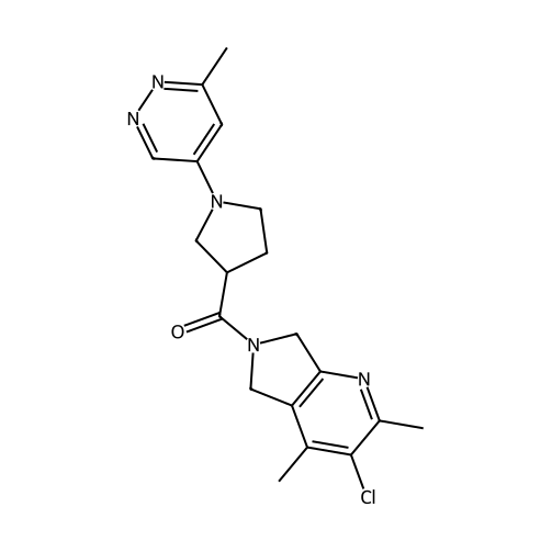 Cc1cc(N2CCC(C(=O)N3Cc4nc(C)c(Cl)c(C)c4C3)C2)cnn1